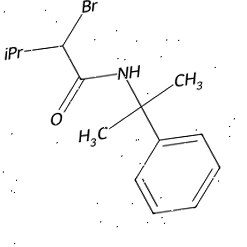 CC(C)C(Br)C(=O)NC(C)(C)c1ccccc1